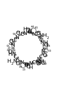 CC(C)[C@H]1C(=O)NC[C@@H](N)C(=O)N2CCCC[C@H]2C(=O)NCC(=O)N(C)CC(=O)N(C)[C@@H](C(C)C)C(=O)NC[C@@H](N)C(=O)N2CCCC[C@H]2C(=O)NCC(=O)N(C)CC(=O)N1C.Cl.Cl